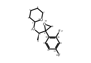 C[C@@H](OC1CCCCO1)C1(c2ccc(F)cc2F)CO1